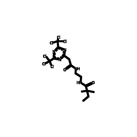 CCC(C)(C)C(=O)NCCNC(=O)Cc1nc(C(Cl)(Cl)Cl)nc(C(Cl)(Cl)Cl)n1